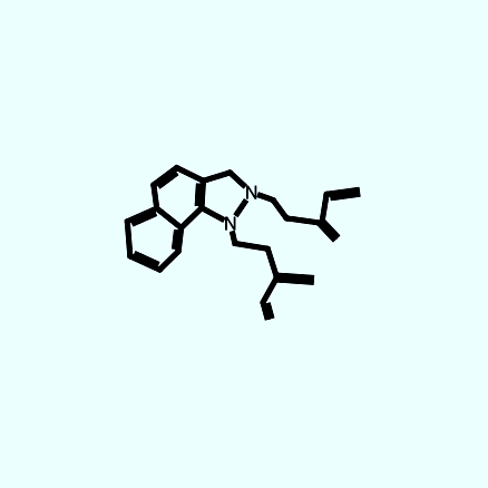 C=CC(=C)CCN1Cc2ccc3ccccc3c2N1CCC(=C)C=C